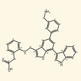 NCc1cccc(-c2cc(-c3c[nH]c4ccccc34)c3occ(COc4ccccc4CC(=O)O)c3c2)c1